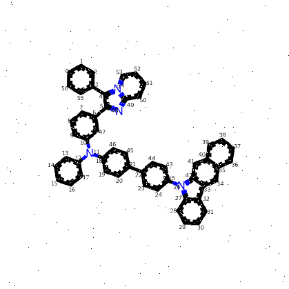 c1ccc(-c2c(-c3cccc(N(c4ccccc4)c4ccc(-c5ccc(-n6c7ccccc7c7cc8ccccc8cc76)cc5)cc4)c3)nc3ccccn23)cc1